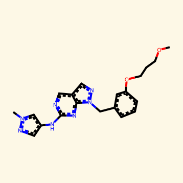 COCCCOc1cccc(Cn2ncc3cnc(Nc4cnn(C)c4)nc32)c1